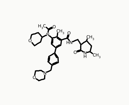 CC(=O)N(c1cc(-c2ccc(CN3CCOCC3)cc2)cc(C(=O)NCC2C(=O)NC(C)CC2C)c1C)C1CCOCC1